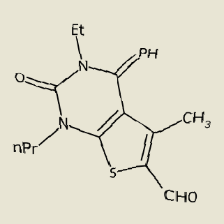 CCCn1c(=O)n(CC)c(=P)c2c(C)c(C=O)sc21